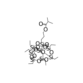 CC[Si]12C[Si]3(CC)O[Si]4(CC)O[Si](CC)(O1)O[Si]1(CC)O[Si](CC)(O2)O[Si](CC)(O3)O[Si](CCCOC(=O)C(C)C)(O4)O1